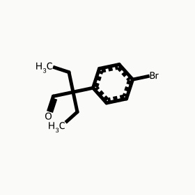 CCC(C=O)(CC)c1ccc(Br)cc1